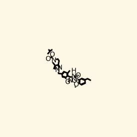 CCc1ccc(OC)c(S(=O)(=O)Nc2noc3cc(Cn4cc5c(n4)CCN(C(=O)OC(C)(C)C)C5)cc(C)c23)c1